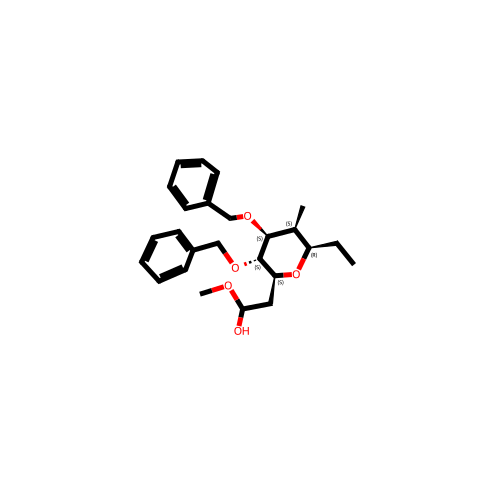 CC[C@H]1O[C@@H](CC(O)OC)[C@H](OCc2ccccc2)[C@@H](OCc2ccccc2)[C@H]1C